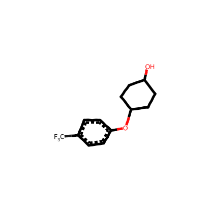 OC1CCC(Oc2ccc(C(F)(F)F)cc2)CC1